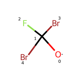 [O]C(F)(Br)Br